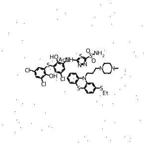 CC(=O)Nc1nnc(S(N)(=O)=O)s1.CCSc1ccc2c(c1)N(CCCN1CCN(C)CC1)c1ccccc1S2.Oc1c(Cl)cc(Cl)cc1Sc1cc(Cl)cc(Cl)c1O